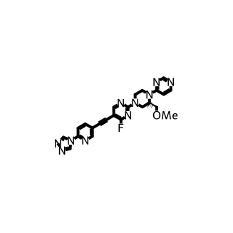 COC[C@H]1CN(c2ncc(C#Cc3ccc(-n4cnnc4)nc3)c(F)n2)CCN1c1ccncn1